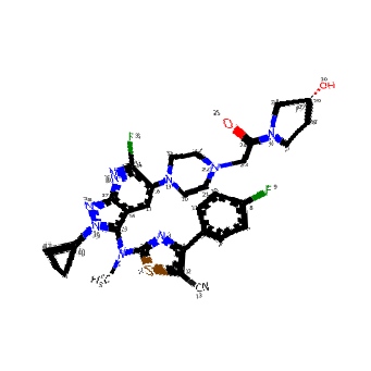 CN(c1nc(-c2ccc(F)cc2)c(C#N)s1)c1c2cc(N3CCN(CC(=O)N4CC[C@@H](O)C4)CC3)c(F)nc2nn1C1CC1